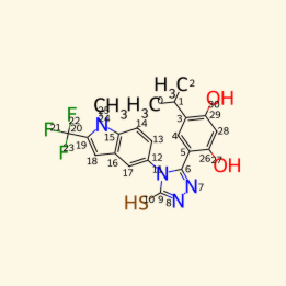 CC(C)c1cc(-c2nnc(S)n2-c2ccc3c(c2)cc(C(F)(F)F)n3C)c(O)cc1O